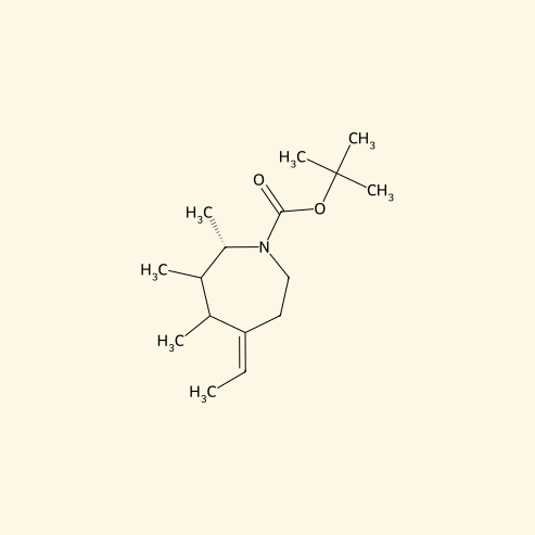 C/C=C1/CCN(C(=O)OC(C)(C)C)[C@@H](C)C(C)C1C